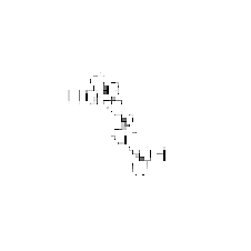 Cc1c(C#CC2(O)CCCCC2)cccc1Oc1ccc(S(=O)(=O)c2ccccc2O)cc1